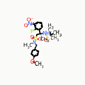 COc1ccc(CN(C)S(=O)(=O)C[C@](C)(N[S+]([O-])C(C)(C)C)c2cccc([N+](=O)[O-])c2F)cc1